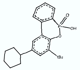 CC(C)(C)c1cc(C2CCCCC2)cc2c1OP(=O)(O)c1ccccc1-2